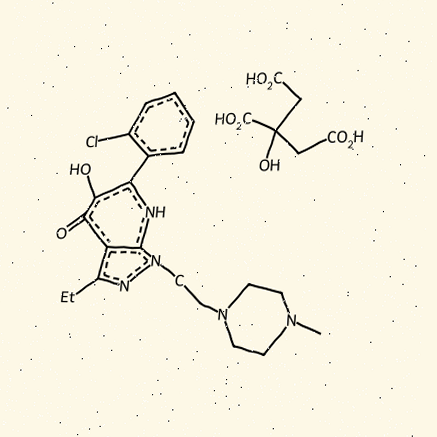 CCc1nn(CCN2CCN(C)CC2)c2[nH]c(-c3ccccc3Cl)c(O)c(=O)c12.O=C(O)CC(O)(CC(=O)O)C(=O)O